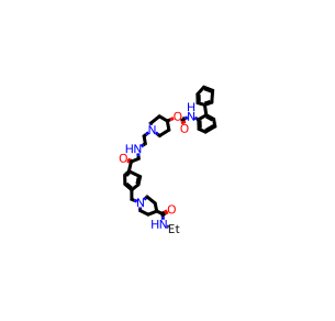 CCNC(=O)C1CCN(Cc2ccc(C(=O)CNCCN3CCC(OC(=O)Nc4ccccc4-c4ccccc4)CC3)cc2)CC1